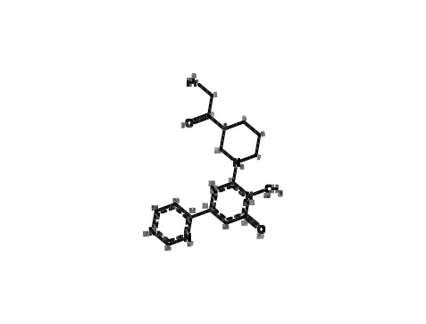 CC(C)CC(=O)C1CCCN(c2nc(-c3ccncn3)cc(=O)n2C)C1